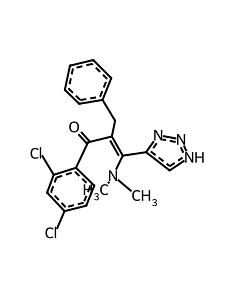 CN(C)C(=C(Cc1ccccc1)C(=O)c1ccc(Cl)cc1Cl)c1c[nH]nn1